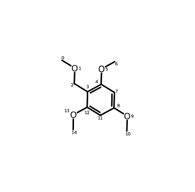 COCc1c(OC)cc(OC)cc1OC